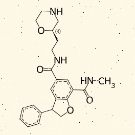 CNC(=O)c1cc(C(=O)NCC[C@@H]2CNCCO2)cc2c1OCC2c1ccccc1